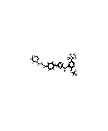 NS(=O)(=O)c1ccc(OC(F)(F)F)c(Nc2nc(-c3ccc(OCCN4CCOCC4)cc3)cs2)c1